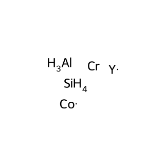 [AlH3].[Co].[Cr].[SiH4].[Y]